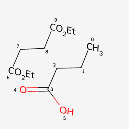 CCCC(=O)O.CCOC(=O)CCC(=O)OCC